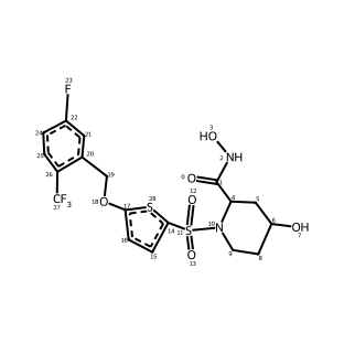 O=C(NO)C1CC(O)CCN1S(=O)(=O)c1ccc(OCc2cc(F)ccc2C(F)(F)F)s1